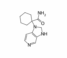 NC(=O)C1(N2CNc3cnccc32)CCCCC1